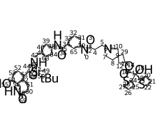 CN(C(=O)CCN1CCC2(CC1)CC(OC(=O)C(O)(c1cccs1)c1cccs1)C2)c1cccc(C(=O)Nc2ccc(CNC[C@H](O[Si](C)(C)C(C)(C)C)c3ccc(O)c4[nH]c(=O)ccc34)cc2)c1